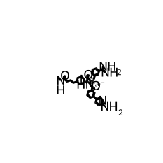 CNC(=O)CCCC1CCN(C(=O)[C@H](Cc2cccc(C(=N)N)c2)N[S+]([O-])c2cccc(-c3ccc(N)nc3)c2)CC1